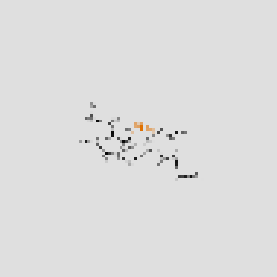 CCCCCCC(CCC)C(P)(CCCC)CCCC